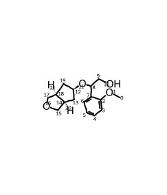 COc1ccccc1C(CO)O[C@H]1C[C@H]2COC[C@H]2C1